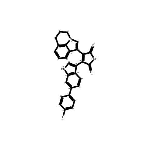 O=C1NC(=O)C(c2cn3c4c(cccc24)CCC3)=C1c1c[nH]c2cc(-c3ccc(F)cc3)ccc12